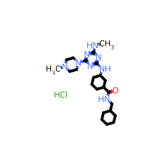 CNc1nc(NC2CCCC(C(=O)NCC3CCCCC3)C2)nc(N2CCN(C)CC2)n1.Cl